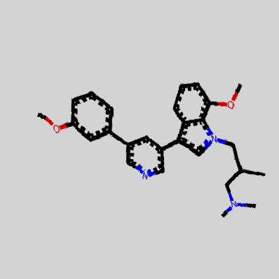 COc1cccc(-c2cncc(-c3cn(CC(C)CN(C)C)c4c(OC)cccc34)c2)c1